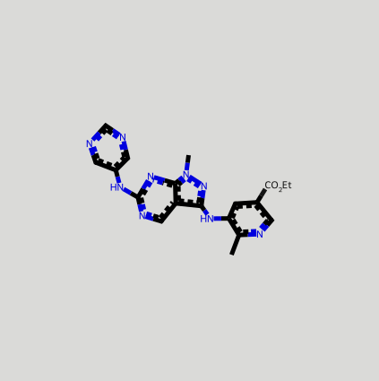 CCOC(=O)c1cnc(C)c(Nc2nn(C)c3nc(Nc4cncnc4)ncc23)c1